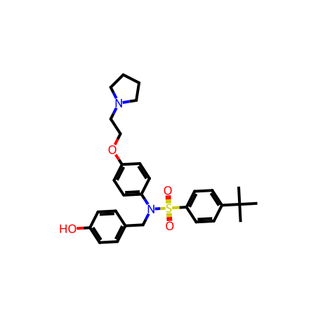 CC(C)(C)c1ccc(S(=O)(=O)N(Cc2ccc(O)cc2)c2ccc(OCCN3CCCC3)cc2)cc1